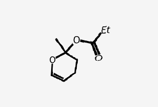 CCC(=O)OC1(C)CCC=CO1